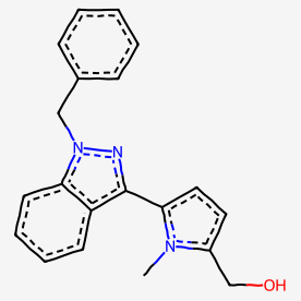 Cn1c(CO)ccc1-c1nn(Cc2ccccc2)c2ccccc12